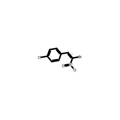 O=[N+]([O-])/C(Br)=C\c1ccc(Cl)cc1